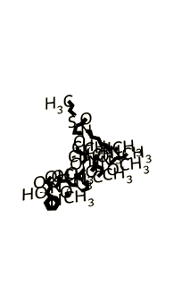 CCCCSC1CC(=O)N(CCCCCC(=O)N(C)C(C(=O)N[C@H](C(=O)N(C)[C@@H]([C@@H](C)CC)[C@@H](CC(=O)N2CCC[C@H]2[C@H](OC)[C@@H](C)C(=O)N[C@H](C(=O)O)[C@@H](O)c2ccccc2)OC)C(C)C)C(C)C)C1=O